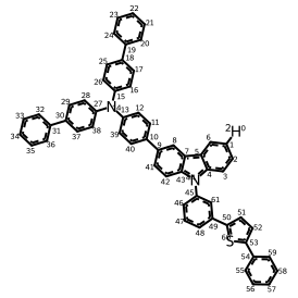 [2H]c1ccc2c(c1)c1cc(-c3ccc(N(c4ccc(-c5ccccc5)cc4)c4ccc(-c5ccccc5)cc4)cc3)ccc1n2-c1cccc(-c2ccc(-c3ccccc3)s2)c1